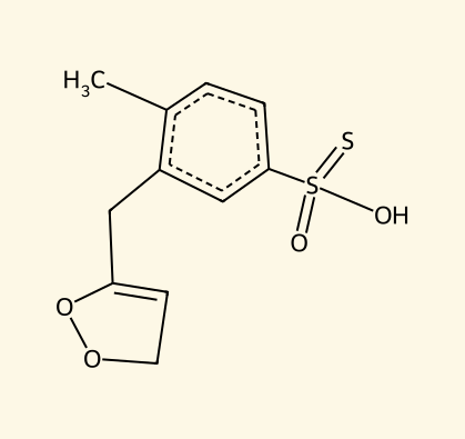 Cc1ccc(S(=O)(O)=S)cc1CC1=CCOO1